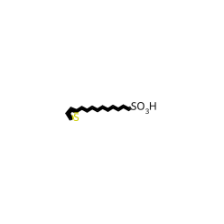 O=S(=O)(O)CCCCCCCCCCc1cccs1